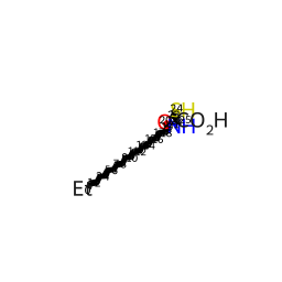 CCC=CCC=CCC=CCC=CCC=CCC=CCC(=O)N[C@H](CS)C(=O)O